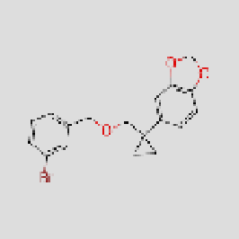 Brc1cccc(COCC2(c3ccc4c(c3)OCO4)CC2)c1